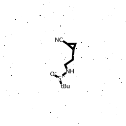 CC(C)(C)[S+]([O-])NCCC1CC1C#N